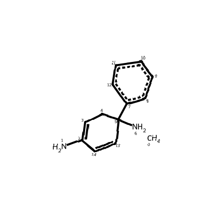 C.NC1=CCC(N)(c2ccccc2)C=C1